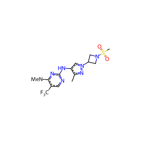 CNc1nc(Nc2cn(C3CN(S(C)(=O)=O)C3)nc2C)ncc1C(F)(F)F